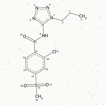 CCCn1nnnc1NC(=O)c1ccc(S(C)(=O)=O)cc1Cl